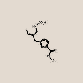 CC(C)(C)NC(=O)c1ccn(CC(=CF)CNC(=O)O)c1